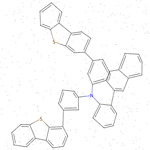 c1cc(-c2ccc3c(c2)sc2ccccc23)cc(N(c2cccc(-c3cccc4c3sc3ccccc34)c2)c2ccccc2-c2ccc3ccccc3c2)c1